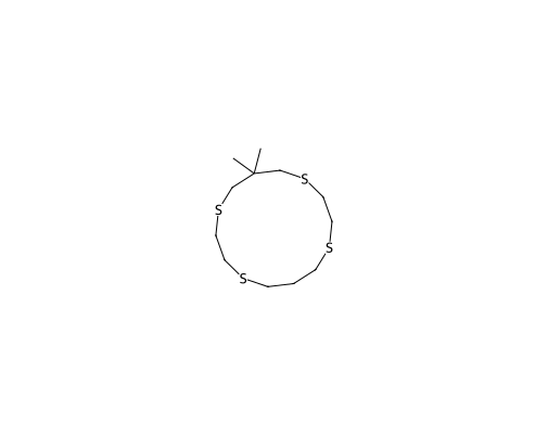 CC1(C)CSCCSCCCSCCSC1